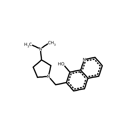 CN(C)C1CCN(Cc2ccc3cccnc3c2O)C1